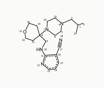 CC(C)CN1CCN(C2(CNc3ncccc3C#N)CCOCC2)CC1